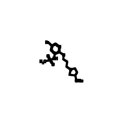 COC1CCN(CCCOc2ncc(Br)cc2NS(C)(=O)=O)C1